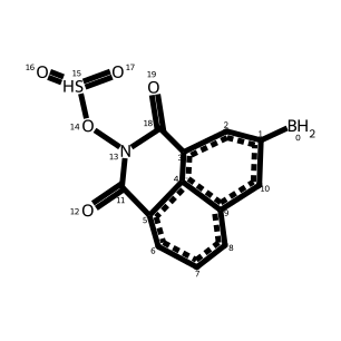 Bc1cc2c3c(cccc3c1)C(=O)N(O[SH](=O)=O)C2=O